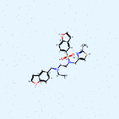 Cc1nc(CN(CCN(Cc2ccc3occc3c2)CC(C)C)S(=O)(=O)c2ccc3occc3c2)cs1